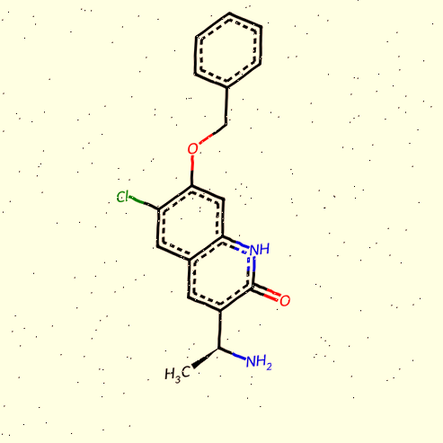 C[C@H](N)c1cc2cc(Cl)c(OCc3ccccc3)cc2[nH]c1=O